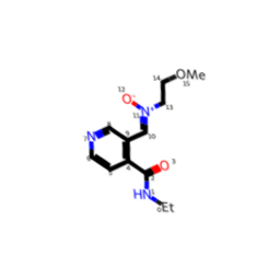 CCNC(=O)c1ccncc1/C=[N+](\[O-])CCOC